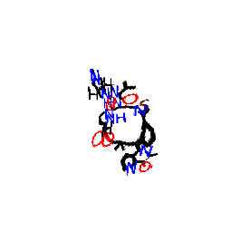 CCn1c(-c2cccnc2[C@H](C)OC)c2c3cc(ccc31)-c1csc(n1)C[C@H](NC(=O)C(C(C)C)N(C)C(=O)N1C[C@H]3CN(C)C[C@H]31)C(=O)N1CCC[C@H](N1)C(=O)OCC(C)(C)C2